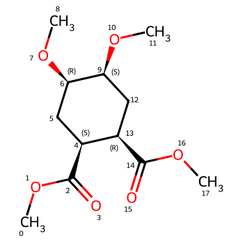 COC(=O)[C@H]1C[C@@H](OC)[C@@H](OC)C[C@H]1C(=O)OC